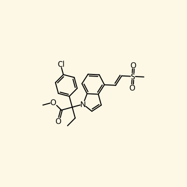 CCC(C(=O)OC)(c1ccc(Cl)cc1)n1ccc2c(C=CS(C)(=O)=O)cccc21